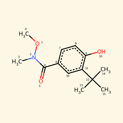 CON(C)C(=O)c1ccc(O)c(C(C)(C)C)c1